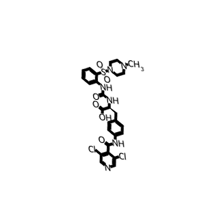 CN1CCN(S(=O)(=O)c2ccccc2NC(=O)N[C@@H](Cc2ccc(NC(=O)c3c(Cl)cncc3Cl)cc2)C(=O)O)CC1